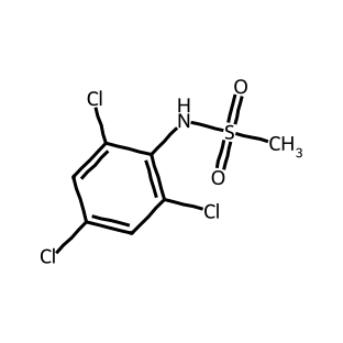 CS(=O)(=O)Nc1c(Cl)cc(Cl)cc1Cl